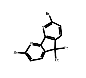 CCC1(CC)c2ccc(Br)nc2-c2nc(Br)ccc21